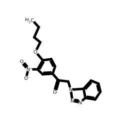 CCCCOc1ccc(C(=O)Cn2nnc3ccccc32)cc1[N+](=O)[O-]